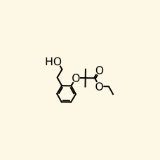 CCOC(=O)C(C)(C)Oc1ccccc1CCO